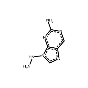 NNn1cnc2cnc(N)nc21